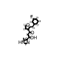 O=C(C=C(O)c1nc[nH]n1)c1ccoc1Cc1cccc(F)c1